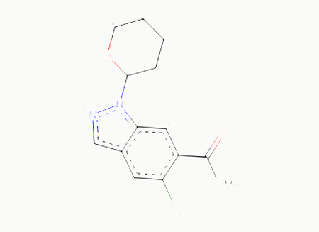 COC(=O)c1cc2c(cnn2C2CCCCO2)cc1Br